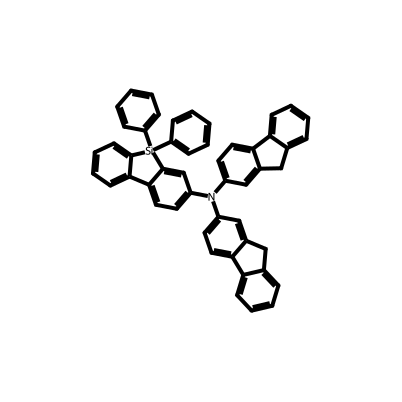 c1ccc([Si]2(c3ccccc3)c3ccccc3-c3ccc(N(c4ccc5c(c4)Cc4ccccc4-5)c4ccc5c(c4)Cc4ccccc4-5)cc32)cc1